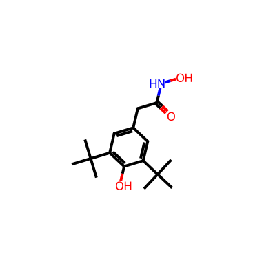 CC(C)(C)c1cc(CC(=O)NO)cc(C(C)(C)C)c1O